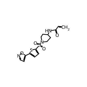 C=CC(=O)NC1CCN(S(=O)(=O)c2ccc(-c3ccno3)s2)CC1